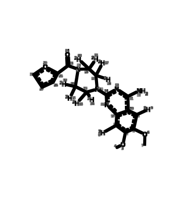 [2H]c1c(OC)c(OC)c([2H])c2c(N)nc(N3C([2H])([2H])C([2H])([2H])N(C(=O)c4ccco4)C([2H])([2H])C3([2H])[2H])nc12